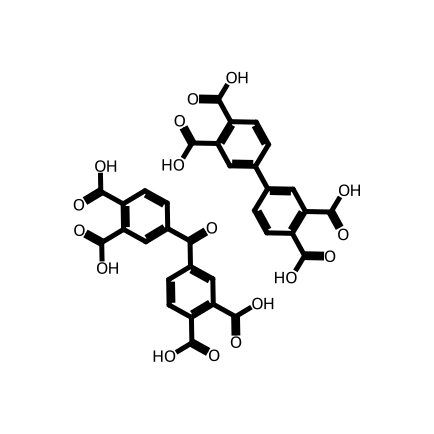 O=C(O)c1ccc(-c2ccc(C(=O)O)c(C(=O)O)c2)cc1C(=O)O.O=C(c1ccc(C(=O)O)c(C(=O)O)c1)c1ccc(C(=O)O)c(C(=O)O)c1